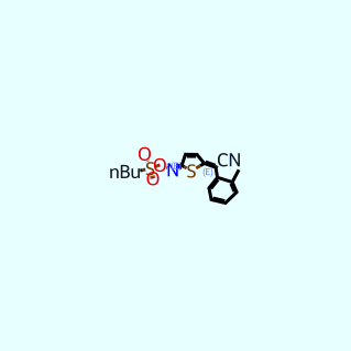 CCCCS(=O)(=O)O/N=C1C=C/C(=C(\C#N)c2ccccc2C)S\1